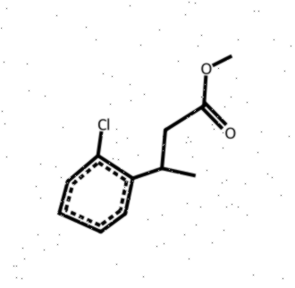 COC(=O)CC(C)c1ccccc1Cl